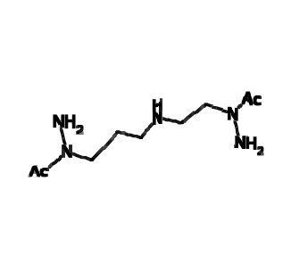 CC(=O)N(N)CCCNCCN(N)C(C)=O